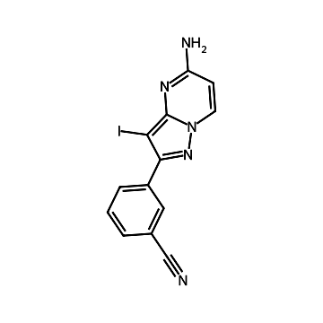 N#Cc1cccc(-c2nn3ccc(N)nc3c2I)c1